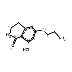 Cl.NCCOc1ccc2c(c1)CCNC2=O